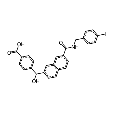 O=C(O)c1ccc(C(O)c2ccc3ccc(C(=O)NCc4ccc(I)cc4)cc3c2)cc1